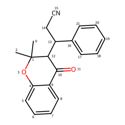 CC1(C)Oc2ccccc2C(=O)C1C(CC#N)c1ccccc1